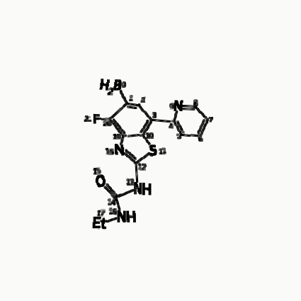 Bc1cc(-c2ccccn2)c2sc(NC(=O)NCC)nc2c1F